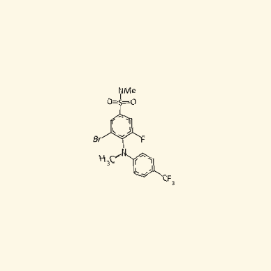 CNS(=O)(=O)c1cc(F)c(N(C)c2ccc(C(F)(F)F)cc2)c(Br)c1